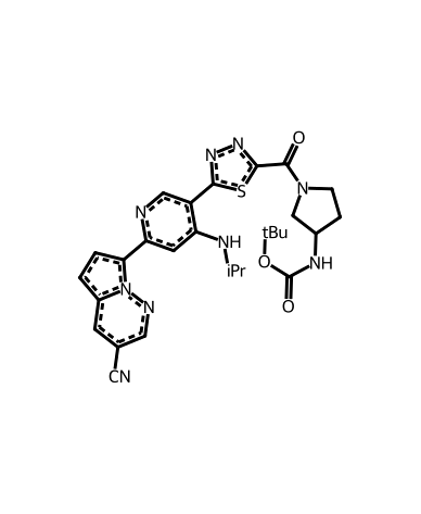 CC(C)Nc1cc(-c2ccc3cc(C#N)cnn23)ncc1-c1nnc(C(=O)N2CCC(NC(=O)OC(C)(C)C)C2)s1